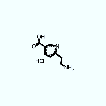 Cl.NCCc1ccc(C(=O)O)cn1